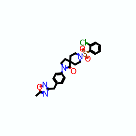 Cc1nc(Cc2ccc(N3CCC4(CCN(S(=O)(=O)c5ccccc5Cl)CC4)C3=O)cc2)no1